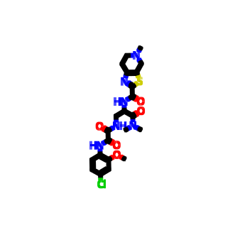 COc1cc(Cl)ccc1NC(=O)C(=O)NCC(NC(=O)c1nc2c(s1)CN(C)CC2)C(=O)N(C)C